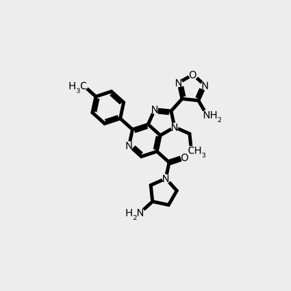 CCn1c(-c2nonc2N)nc2c(-c3ccc(C)cc3)ncc(C(=O)N3CCC(N)C3)c21